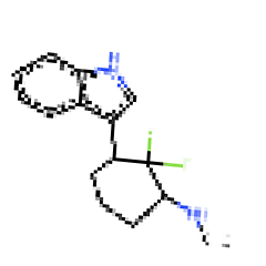 O=CNC1CCC[C](c2c[nH]c3ccccc23)C1(F)F